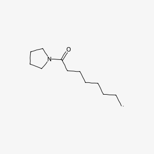 [CH2]CCCCCCC(=O)N1CCCC1